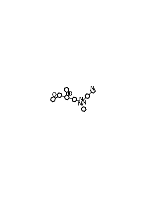 c1ccc(-c2nc(-c3ccc(-c4cccnc4)cc3)nc(-c3ccc(-c4ccc(-c5ccc6oc7ccccc7c6c5)c5c4oc4ccccc45)cc3)n2)cc1